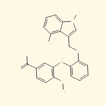 COc1ccc(C(=O)O)cc1Nc1ccccc1NCc1cn(C)c2cccc(C)c12